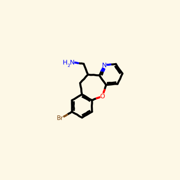 NCC1Cc2cc(Br)ccc2Oc2cccnc21